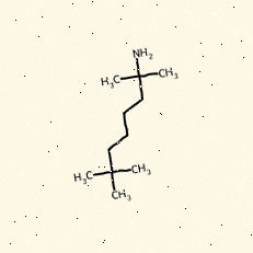 CC(C)(C)CCCCC(C)(C)N